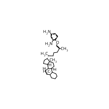 CC(=COc1ccc(N)cc1N)CCCC(C)[C@H]1CC[C@H]2[C@@H]3CCC4CCCC[C@]4(C)[C@H]3CC[C@]12C